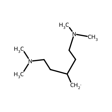 [CH2]C(CCN(C)C)CCN(C)C